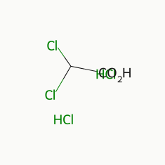 Cl.Cl.O=C(O)C(Cl)Cl